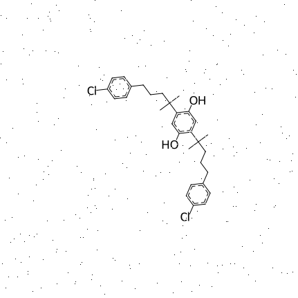 CC(C)(CCCc1ccc(Cl)cc1)c1cc(O)c(C(C)(C)CCCc2ccc(Cl)cc2)cc1O